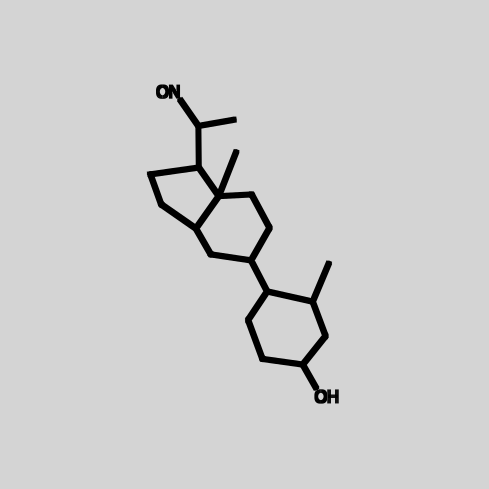 CC1CC(O)CCC1C1CCC2(C)C(CCC2C(C)N=O)C1